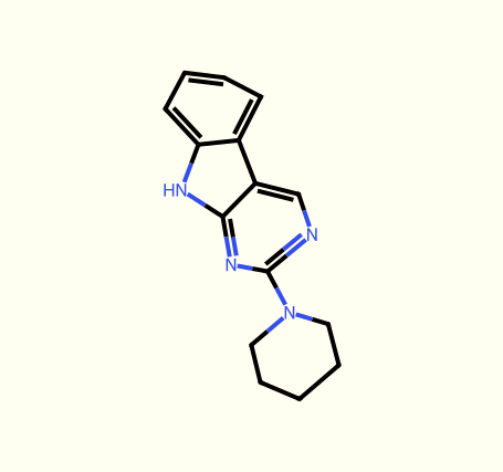 c1ccc2c(c1)[nH]c1nc(N3CCCCC3)ncc12